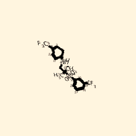 CC(C)(CNC1CCC(C(F)(F)F)CC1)S(=O)(=O)c1cccc(C(F)(F)F)c1